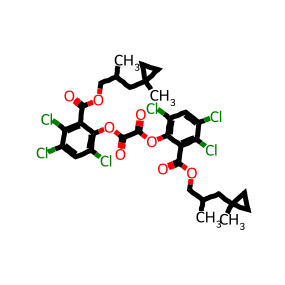 CC(COC(=O)c1c(Cl)c(Cl)cc(Cl)c1OC(=O)C(=O)Oc1c(Cl)cc(Cl)c(Cl)c1C(=O)OCC(C)CC1(C)CC1)CC1(C)CC1